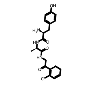 C[C@@H](NC(=O)[C@@H](N)Cc1ccc(O)cc1)C(=O)NCC(=O)C1=C(Cl)C=CC[CH]1